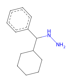 NNC(c1ccccc1)C1CCCCC1